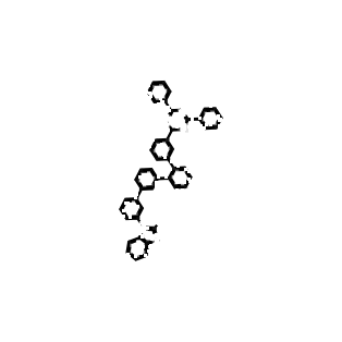 Cc1nc2ccccc2n1-c1cccc(-c2cccc(-c3ccccc3-c3cccc(C4N=C(c5ccccc5)N=C(c5ccccc5)N4)c3)c2)c1